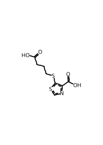 O=C(O)CCCSc1scnc1C(=O)O